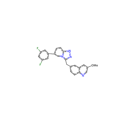 COc1cnc2ccc(Cc3nnc4ccc(-c5cc(F)cc(F)c5)cn34)cc2c1